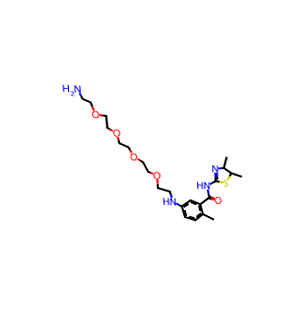 Cc1ccc(NCCOCCOCCOCCOCCN)cc1C(=O)NC1=NC(C)C(C)S1